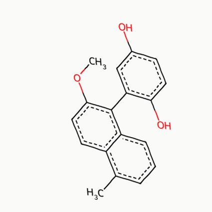 COc1ccc2c(C)cccc2c1-c1cc(O)ccc1O